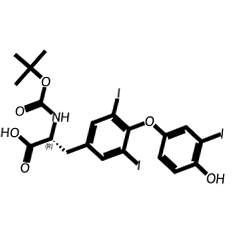 CC(C)(C)OC(=O)N[C@H](Cc1cc(I)c(Oc2ccc(O)c(I)c2)c(I)c1)C(=O)O